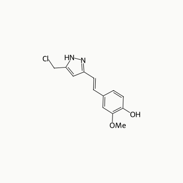 COc1cc(C=Cc2cc(CCl)[nH]n2)ccc1O